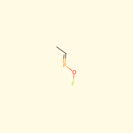 CC=POF